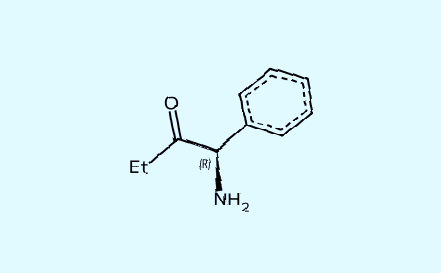 CCC(=O)[C@H](N)c1ccccc1